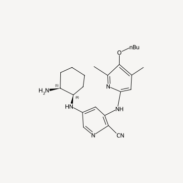 CCCCOc1c(C)cc(Nc2cc(N[C@@H]3CCCC[C@@H]3N)cnc2C#N)nc1C